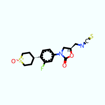 O=C1O[C@H](CN=C=S)CN1c1ccc([C@H]2CC[S@+]([O-])CC2)c(F)c1